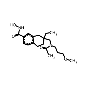 CCC1(CN(CCCOC)C(C)=O)CCc2ccc(C(=O)NO)cc2C1